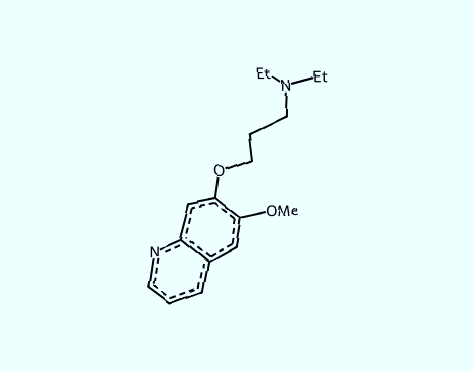 CCN(CC)CCCOc1cc2ncccc2cc1OC